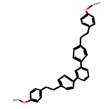 CCCCCCOc1ccc(CCc2ccc(-c3cccc(-c4ccc(CCc5ccc(OCCCCCC)cc5)cc4)c3)cc2)cc1